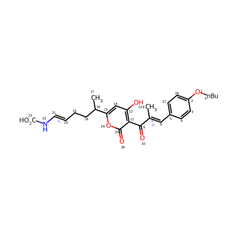 CCCCOc1ccc(/C=C(\C)C(=O)c2c(O)cc(C(C)CC/C=C/NC(=O)O)oc2=O)cc1